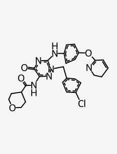 O=C(Nc1nn(Cc2ccc(Cl)cc2)c(Nc2ccc(OC3=NCCC=C3)cc2)nc1=O)C1CCOCC1